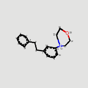 [c]1cccc(CCc2cccc(N3CCOCC3)c2)c1